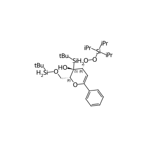 CC(C)[Si](OO[C@@H]1C=C(c2ccccc2)O[C@H](CO[SiH2]C(C)(C)C)[C@]1(O)[SiH2]C(C)(C)C)(C(C)C)C(C)C